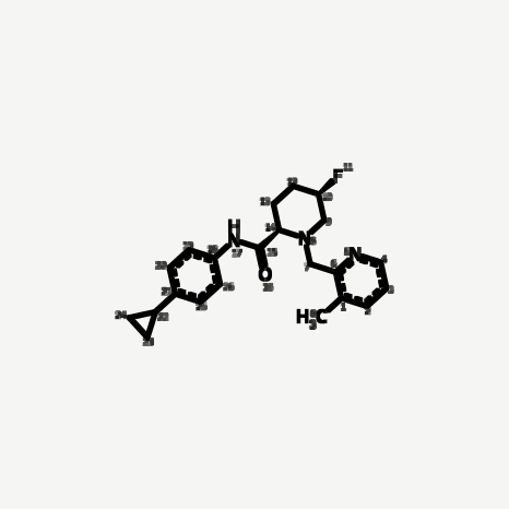 Cc1cccnc1CN1C[C@H](F)CC[C@@H]1C(=O)Nc1ccc(C2CC2)cc1